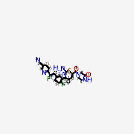 C[C@@H]1CC(C(=O)N2CCNC(=O)C2)SC(N)=N[C@]1(C)c1cc(/C=C(\F)c2ccc(C#N)cn2)ccc1F